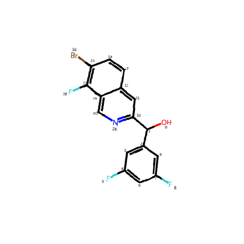 OC(c1cc(F)cc(F)c1)c1cc2ccc(Br)c(F)c2cn1